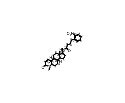 CN1C(=O)C=C[C@@]2(C)C1CC[C@@H]1[C@H]2CC[C@]2(C)C(NC(=O)CCCc3ccccc3[N+](=O)[O-])CC[C@@H]12